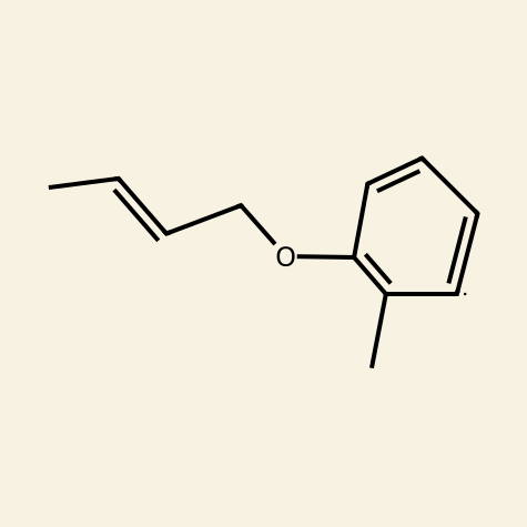 CC=CCOc1ccc[c]c1C